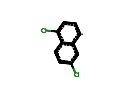 Clc1ccc2c(Cl)cc[c]c2c1